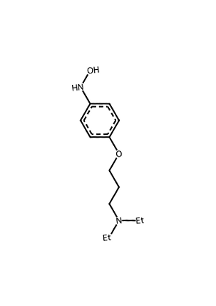 CCN(CC)CCCOc1ccc(NO)cc1